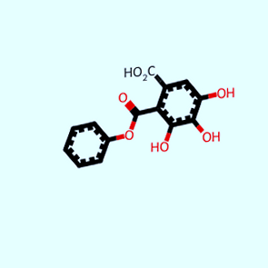 O=C(O)c1cc(O)c(O)c(O)c1C(=O)Oc1ccccc1